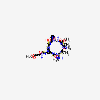 CNC(=O)C[C@@H]1NC(=O)c2csc(n2)-c2ccc(-c3nc(NC(=O)CCCCC(=O)OC)cs3)nc2-c2csc(n2)-c2csc(n2)[C@H]([C@@H](O)c2ccccc2)NC(=O)CNC(=O)c2nc(sc2COC)C(C(C)C)NC(=O)c2nc1sc2C